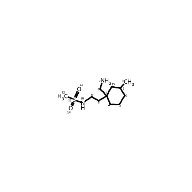 CC1CCCC(CN)(CCNS(C)(=O)=O)C1